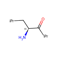 CC(C)C[C@H](N)C(=O)C(C)C